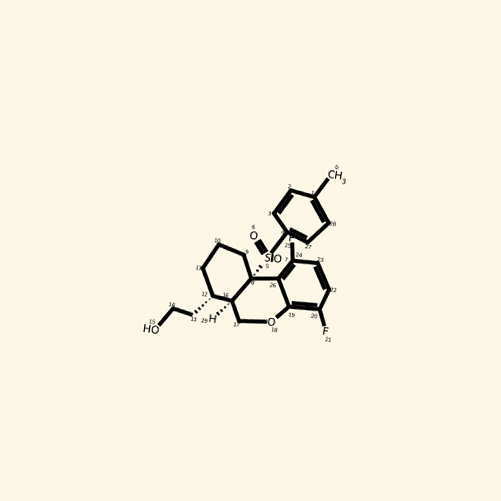 Cc1ccc(S(=O)(=O)[C@@]23CCC[C@@H](CCO)[C@@H]2COc2c(F)ccc(F)c23)cc1